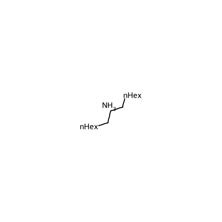 N.[CH2]CCCCCCCCCCCCCC